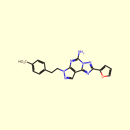 Nc1nc2c(cnn2CCc2ccc(C(=O)O)cc2)c2nc(-c3ccco3)nn12